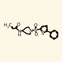 C=CC(=O)NC1CCN(S(=O)(=O)c2ccc(-c3ccccc3)s2)CC1